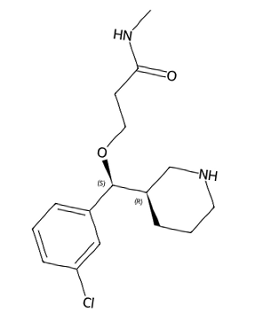 CNC(=O)CCO[C@H](c1cccc(Cl)c1)[C@@H]1CCCNC1